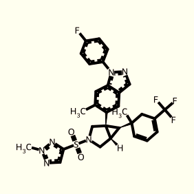 Cc1cc2c(cnn2-c2ccc(F)cc2)cc1[C@]12CN(S(=O)(=O)c3cnn(C)n3)C[C@H]1[C@@H]2C1(C)C=CC=C(C(F)(F)F)C1